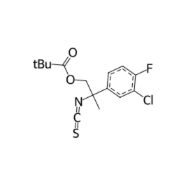 CC(C)(C)C(=O)OCC(C)(N=C=S)c1ccc(F)c(Cl)c1